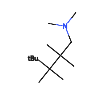 CN(C)CC(C)(C)C(C)(C)C(C)(C)C